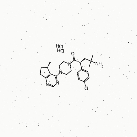 C[C@@H]1CCc2ncnc(N3CCN(C(=O)[C@@H](CC(C)(C)N)c4ccc(Cl)cc4)CC3)c21.Cl.Cl